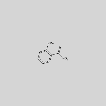 C=C(c1ccccc1NC)[N+](=O)[O-]